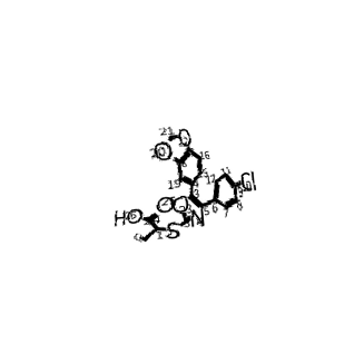 CC(Sc1nc(-c2ccc(Cl)cc2)c(-c2ccc3c(c2)OCO3)o1)C(=O)O